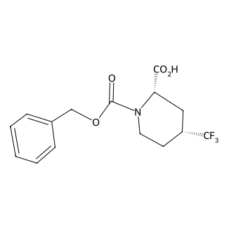 O=C(O)[C@@H]1C[C@H](C(F)(F)F)CCN1C(=O)OCc1ccccc1